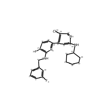 Fc1cccc(CNc2nc(-c3cc(NC4CCCCC4)ncc3Cl)ccc2F)c1